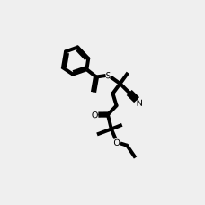 C=C(SC(C)(C#N)CCC(=O)C(C)(C)OCC)c1ccccc1